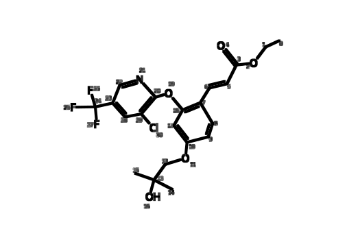 CCOC(=O)/C=C/c1ccc(OCC(C)(C)O)cc1Oc1ncc(C(F)(F)F)cc1Cl